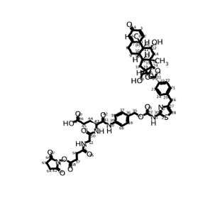 C[C@]12C=CC(=O)C=C1CC[C@@H]1[C@@H]2[C@@H](O)C[C@@]2(C)[C@H]1C[C@H]1O[C@@H](c3ccc(Cc4csc(NC(=O)OCc5ccc(NC(=O)[C@H](CCC(=O)O)NC(=O)CNC(=O)CCC(=O)ON6C(=O)CCC6=O)cc5)n4)cc3)O[C@]12C(=O)CO